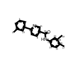 Cc1cccc(-c2ccc(C(=O)Nc3ccc(C)c(C)c3)cn2)c1